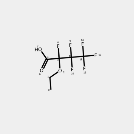 CCOC(F)(C(=O)O)C(F)(F)C(F)(F)F